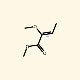 C/C=C(\OC)C(=O)OC